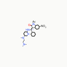 CC(=O)N1C(=O)/C(=C(\Nc2ccc(N(C)CCN(C)C)cn2)c2ccccc2)c2ccc([N+](=O)[O-])cc21